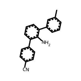 Cc1cccc(-c2cccc(-c3ccc(C#N)cc3)c2N)c1